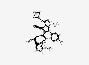 Cc1cc(N2C(=O)c3c(C4CNC4)cn(C)c3C2c2ccc(Cl)cc2)cn2c(C)nnc12